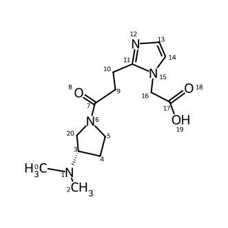 CN(C)[C@H]1CCN(C(=O)CCc2nccn2CC(=O)O)C1